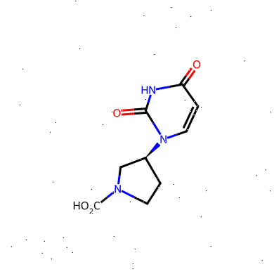 O=C(O)N1CC[C@H](n2ccc(=O)[nH]c2=O)C1